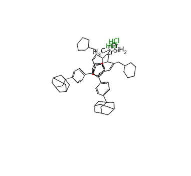 CC[CH2][Zr]([CH3])(=[SiH2])([CH]1C(CC2CCCCC2)=Cc2c(-c3ccc(C45CC6CC(CC(C6)C4)C5)cc3)cccc21)[CH]1C(CC2CCCCC2)=Cc2c(-c3ccc(C45CC6CC(CC(C6)C4)C5)cc3)cccc21.Cl.Cl